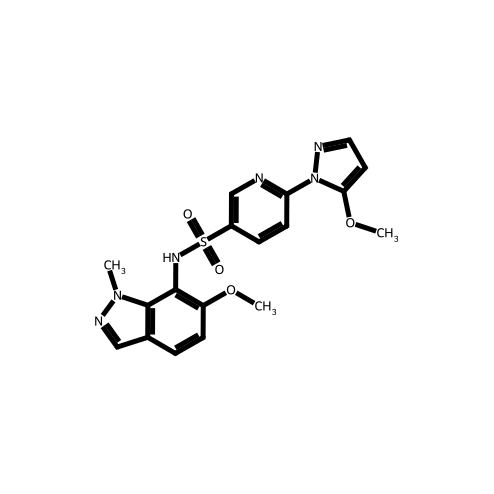 COc1ccc2cnn(C)c2c1NS(=O)(=O)c1ccc(-n2nccc2OC)nc1